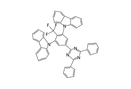 FC(F)(F)c1c(-n2c3ccccc3c3ccccc32)cc(-c2nc(-c3ccccc3)nc(-c3ccccc3)n2)cc1-n1c2ccccc2c2ccccc21